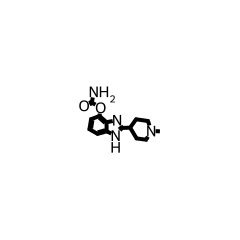 CN1CCC(c2nc3c(OC(N)=O)cccc3[nH]2)CC1